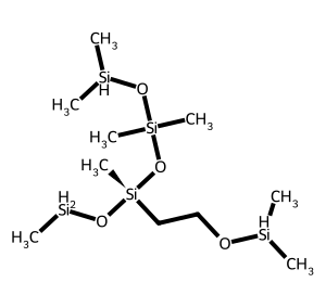 C[SiH2]O[Si@@](C)(CCO[SiH](C)C)O[Si](C)(C)O[SiH](C)C